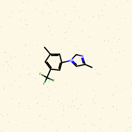 CC1=NC[N+](c2cc(C)cc(C(F)(F)F)c2)=C1